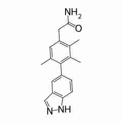 Cc1cc(CC(N)=O)c(C)c(C)c1-c1ccc2[nH]ncc2c1